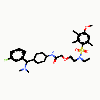 CCN(CCOCC(=O)NC1CCC(C(c2cccc(F)c2)N(C)C)CC1)S(=O)(=O)c1c(C)cc(OC)c(C)c1C